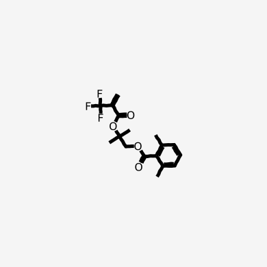 C=C(C(=O)OC(C)(C)COC(=O)c1c(C)cccc1C)C(F)(F)F